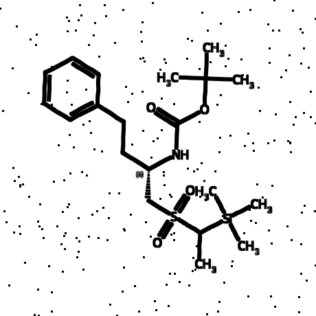 CC([Si](C)(C)C)S(=O)(=O)C[C@H](CCc1ccccc1)NC(=O)OC(C)(C)C